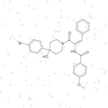 COc1ccc(C(=O)NC(=Cc2ccccc2)C(=O)N2CCC(O)(c3ccc(Br)cc3)CC2)cc1